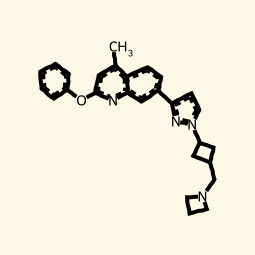 Cc1cc(Oc2ccccc2)nc2cc(-c3ccn(C4CC(CN5CCC5)C4)n3)ccc12